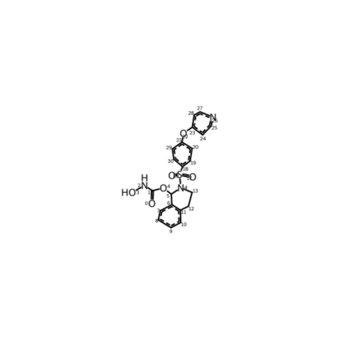 O=C(NO)OC1c2ccccc2CCN1S(=O)(=O)c1ccc(Oc2ccncc2)cc1